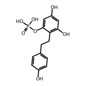 O=P(O)(O)Oc1cc(O)cc(O)c1CCc1ccc(O)cc1